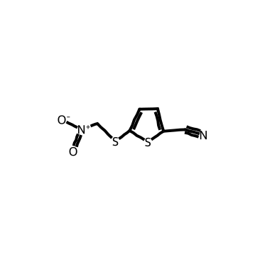 N#Cc1ccc(SC[N+](=O)[O-])s1